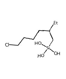 CCC(CCCCCl)C[Si](O)(O)O